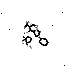 CC1(C)[C@H](Nc2c(C(N)=O)cnn3cc(-c4ccccc4)cc23)CC[C@@]1(C)N